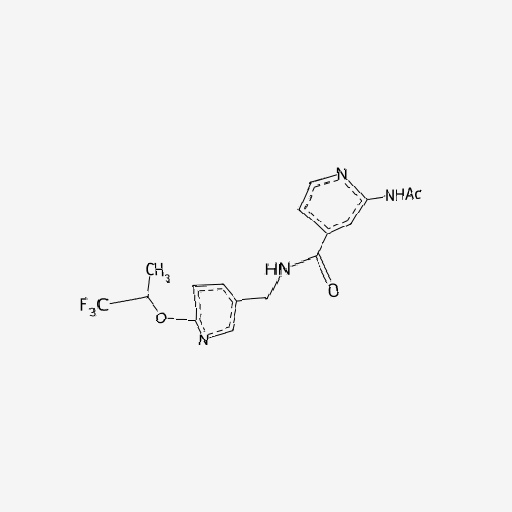 CC(=O)Nc1cc(C(=O)NCc2ccc(OC(C)C(F)(F)F)nc2)ccn1